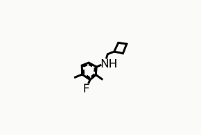 Cc1ccc(NCC2CCC2)c(C)c1F